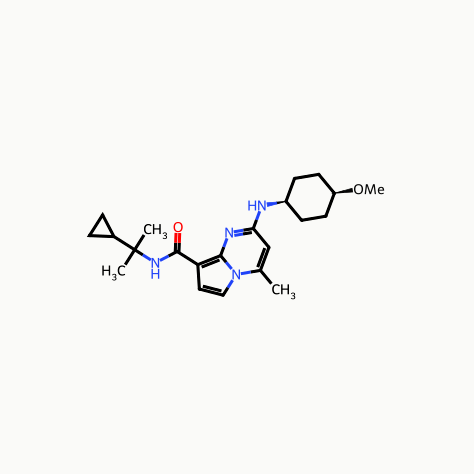 CO[C@H]1CC[C@@H](Nc2cc(C)n3ccc(C(=O)NC(C)(C)C4CC4)c3n2)CC1